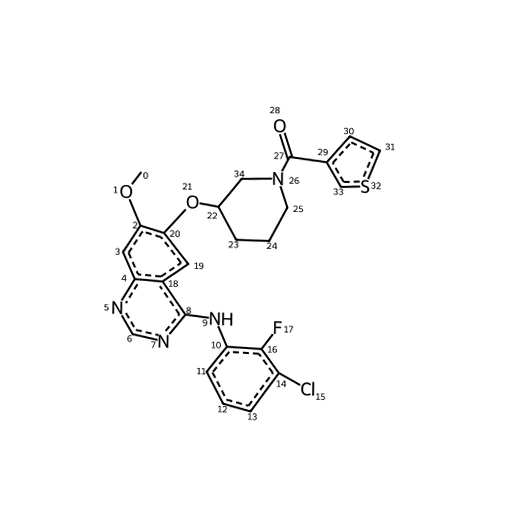 COc1cc2ncnc(Nc3cccc(Cl)c3F)c2cc1OC1CCCN(C(=O)c2ccsc2)C1